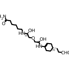 NC(=O)CCCCCN[C@@H](O)COC[C@@H](O)NC1=CC[C@H](CCC=O)CC1